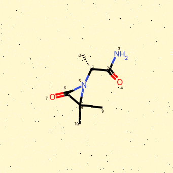 C[C@H](C(N)=O)N1C(=O)C1(C)C